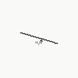 CCCCCCCCCCCCCCCCC(CCCCCCCCCCCC)C(C)(C)N